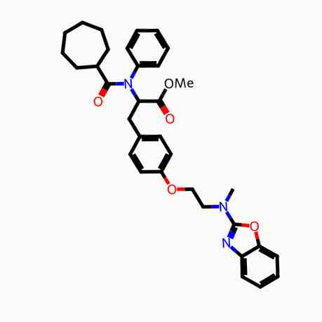 COC(=O)C(Cc1ccc(OCCN(C)c2nc3ccccc3o2)cc1)N(C(=O)C1CCCCCC1)c1ccccc1